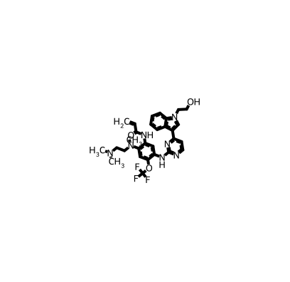 C=CC(=O)Nc1cc(Nc2nccc(-c3cn(CCO)c4ccccc34)n2)c(OC(F)(F)F)cc1N(C)CCN(C)C